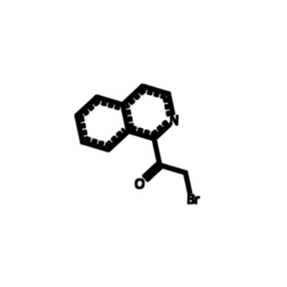 O=C(CBr)c1nccc2ccccc12